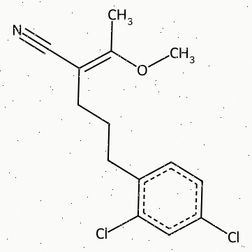 COC(C)=C(C#N)CCCc1ccc(Cl)cc1Cl